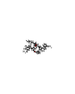 CCC(C)(C)NC(=O)CCC(C)SSCCC1C2OP(=O)(O)OC[C@H]3O[C@@H](n4cnc5c(N)ncnc54)C(O)C3OP(=O)(O)OC[C@H]1O[C@H]2n1cnc2c(=O)[nH]c(N)nc21